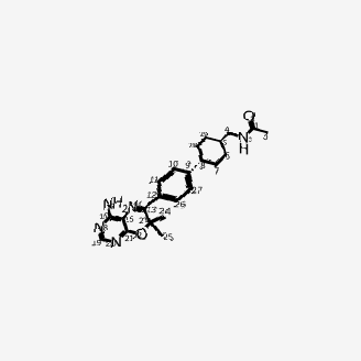 CC(=O)NC[C@H]1CC[C@H](c2ccc(C3=Nc4c(N)ncnc4OC3(C)C)cc2)CC1